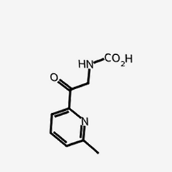 Cc1cccc(C(=O)CNC(=O)O)n1